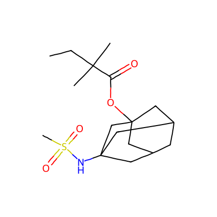 CCC(C)(C)C(=O)OC12CC3CC(CC(NS(C)(=O)=O)(C3)C1)C2